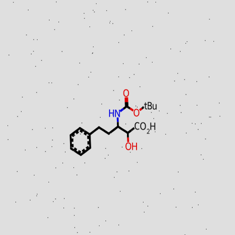 CC(C)(C)OC(=O)NC(CCc1ccccc1)C(O)C(=O)O